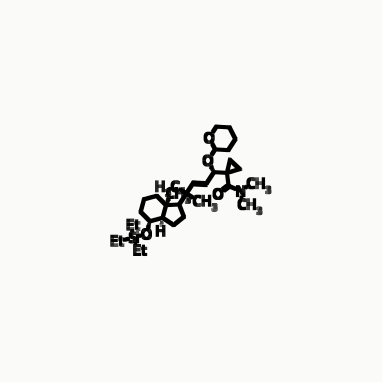 CC[Si](CC)(CC)O[C@H]1CCC[C@]2(C)C(C(C)(C)/C=C/[C@@H](OC3CCCCO3)C3(C(=O)N(C)C)CC3)CC[C@@H]12